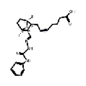 O=C(O)CCC/C=C\C[C@H]1[C@@H](C=NNC(=O)Nc2ccccc2)[C@H]2CC[C@@H]1S2